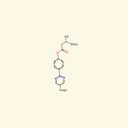 CCCCCCCc1cnc(-c2ccc(OC(=O)CC(C#N)C(C)CCC)cc2)nc1